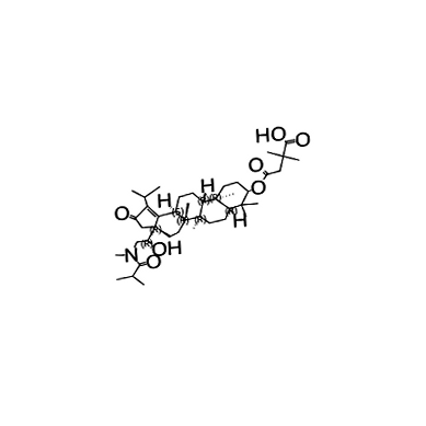 CC(C)C(=O)N(C)C[C@H](O)[C@@]12CC[C@]3(C)[C@H](CC[C@@H]4[C@@]5(C)CCC(OC(=O)CC(C)(C)C(=O)O)C(C)(C)[C@@H]5CC[C@]43C)C1=C(C(C)C)C(=O)C2